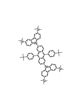 CC(C)(C)c1ccc(-c2c3ccc(-n4c5ccc([Si](C)(C)C)cc5c5cc([Si](C)(C)C)ccc54)cc3c(-c3ccc(C(C)(C)C)cc3)c3ccc(-n4c5ccc([Si](C)(C)C)cc5c5cc([Si](C)(C)C)ccc54)cc23)cc1